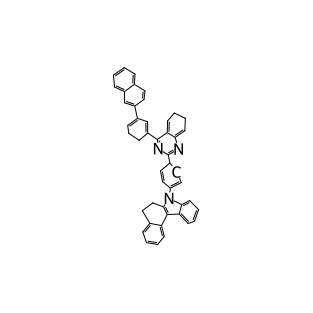 C1=CC(c2nc(C3=CC(c4ccc5ccccc5c4)=CCC3)c3c(n2)=CCCC=3)CC=C1n1c2c(c3ccccc31)-c1ccccc1CC2